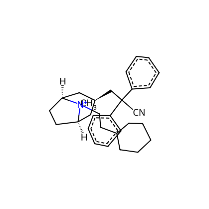 C[N+]1(CCC2CCCCC2)[C@@H]2CC[C@H]1C[C@@H](CC(C#N)(c1ccccc1)c1ccccc1)C2